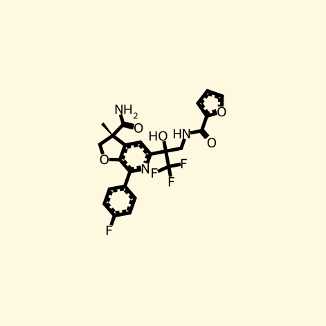 C[C@]1(C(N)=O)COc2c1cc(C(O)(CNC(=O)c1ccco1)C(F)(F)F)nc2-c1ccc(F)cc1